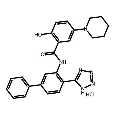 Cl.O=C(Nc1cc(-c2ccccc2)ccc1-c1nnn[nH]1)c1cc(N2CCCCC2)ccc1O